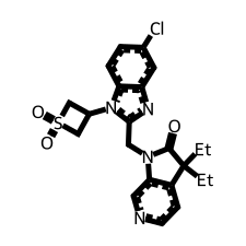 CCC1(CC)C(=O)N(Cc2nc3cc(Cl)ccc3n2C2CS(=O)(=O)C2)c2cnccc21